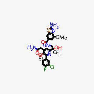 CCOc1c(CC(N)=O)cc([C@@](O)(CNC(=O)c2cc(OC)c3nc(N)sc3c2)C(F)(F)F)nc1-c1ccc(F)c(Cl)c1